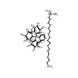 CCCCCCCCCCCCCCCCCC[NH+](C)C.Oc1ccccc1[B-](c1c(F)c(F)c(F)c(F)c1F)(c1c(F)c(F)c(F)c(F)c1F)c1c(F)c(F)c(F)c(F)c1F